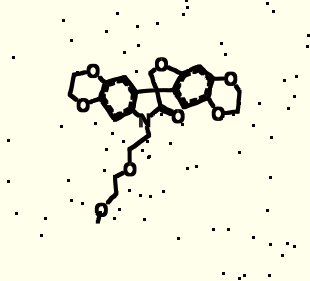 COCCOCCN1C(=O)C2(COc3cc4c(cc32)OCCO4)c2cc3c(cc21)OCCO3